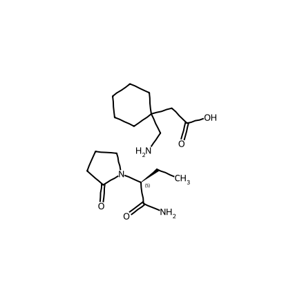 CC[C@@H](C(N)=O)N1CCCC1=O.NCC1(CC(=O)O)CCCCC1